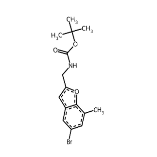 Cc1cc(Br)cc2cc(CNC(=O)OC(C)(C)C)oc12